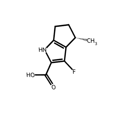 C[C@H]1CCc2[nH]c(C(=O)O)c(F)c21